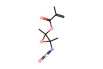 C=C(C)C(=O)OC1(C)OC1(C)N=C=O